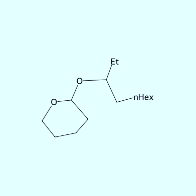 CCCCCCCC(CC)OC1CCCCO1